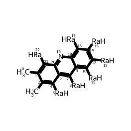 Cc1c(C)[c]([RaH])c2[c]([RaH])c3[c]([RaH])[c]([RaH])[c]([RaH])[c]([RaH])c3nc2[c]1[RaH]